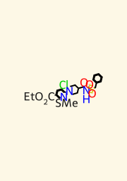 CCOC(=O)c1cc(Cl)c(N2CCC(C(=O)NS(=O)(=O)Cc3ccccc3)CC2)nc1SC